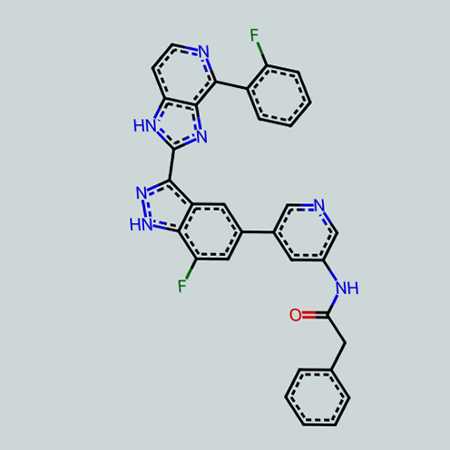 O=C(Cc1ccccc1)Nc1cncc(-c2cc(F)c3[nH]nc(-c4nc5c(-c6ccccc6F)nccc5[nH]4)c3c2)c1